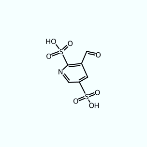 O=Cc1cc(S(=O)(=O)O)cnc1S(=O)(=O)O